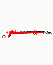 CCCCCCCCCCCCC/C=C/C(O)C(CO)NC(=O)CCCCCCCCCCCCCCCCCCCCCCCCCCCCCOC(O)C(O)CCCCCCCCCCCCCCCCCCCCCC